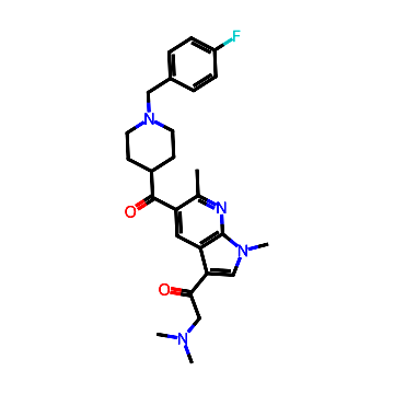 Cc1nc2c(cc1C(=O)C1CCN(Cc3ccc(F)cc3)CC1)c(C(=O)CN(C)C)cn2C